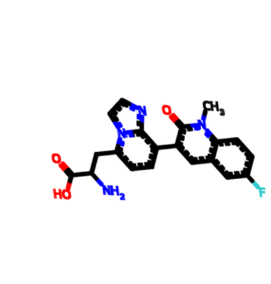 Cn1c(=O)c(-c2ccc(CC(N)C(=O)O)n3ccnc23)cc2cc(F)ccc21